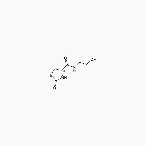 O=C1N[C@H](C(=O)NCCO)CS1